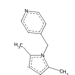 Cc1[c]cc(C)n1Cc1ccncc1